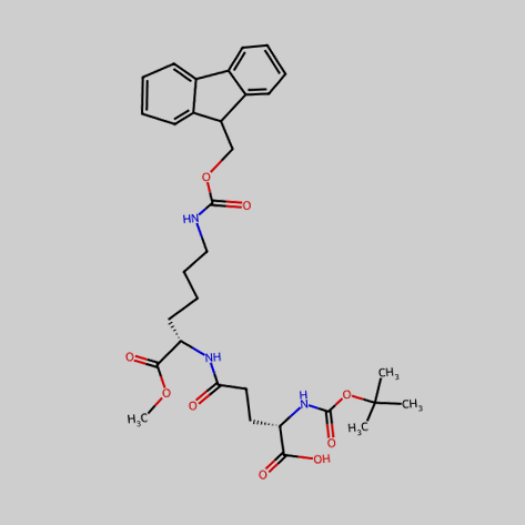 COC(=O)[C@H](CCCCNC(=O)OCC1c2ccccc2-c2ccccc21)NC(=O)CC[C@H](NC(=O)OC(C)(C)C)C(=O)O